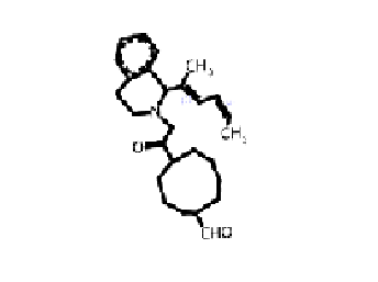 C/C=C\C=C(/C)C1c2ccccc2CCN1CC(=O)C1CCCCC(C=O)CCC1